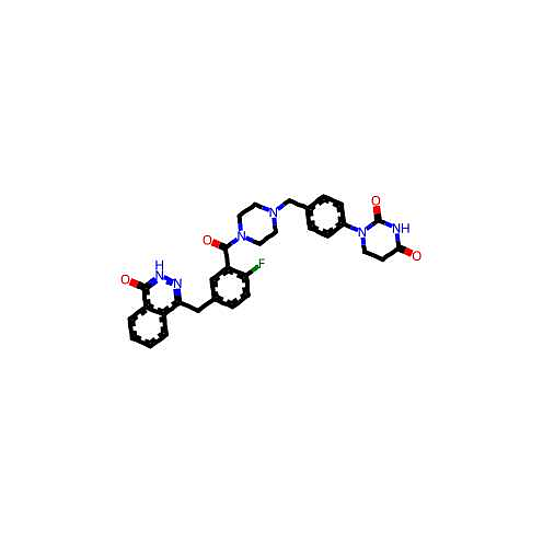 O=C1CCN(c2ccc(CN3CCN(C(=O)c4cc(Cc5n[nH]c(=O)c6ccccc56)ccc4F)CC3)cc2)C(=O)N1